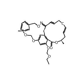 CCOCOc1cc2c(c(OCOCC)c1)C(=O)O[C@H](C)C/C=C/CC/C=C/C(=N/OCc1ccccc1)C2